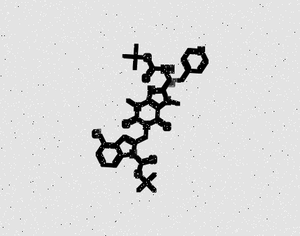 Cn1c([C@@H](Cc2ccncc2)NC(=O)OC(C)(C)C)nc2c1c(=O)n(Cc1cc3c(Cl)cccc3n1C(=O)OC(C)(C)C)c(=O)n2C